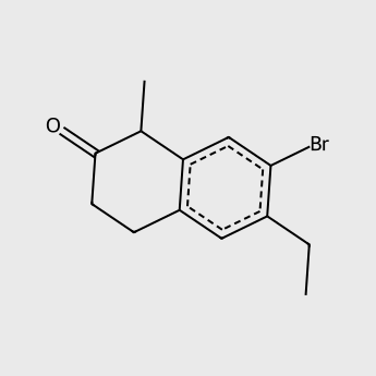 CCc1cc2c(cc1Br)C(C)C(=O)CC2